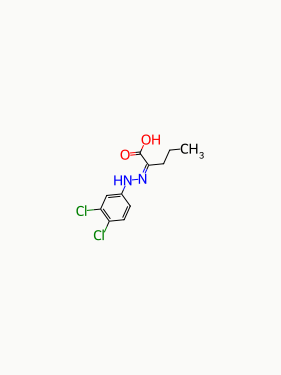 CCCC(=NNc1ccc(Cl)c(Cl)c1)C(=O)O